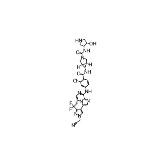 N#CCn1cc(-c2cnc3c(Nc4ccc(C(=O)N[C@H]5[C@@H]6CN(C(=O)N[C@@H]7CNC[C@H]7O)C[C@@H]65)c(Cl)c4)nccn23)c(C(F)(F)F)n1